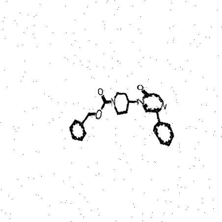 O=C(OCc1ccccc1)N1CCC(n2cc(-c3ccccc3)ncc2=O)CC1